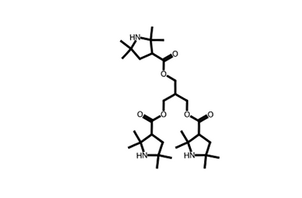 CC1(C)CC(C(=O)OCC(COC(=O)C2CC(C)(C)NC2(C)C)COC(=O)C2CC(C)(C)NC2(C)C)C(C)(C)N1